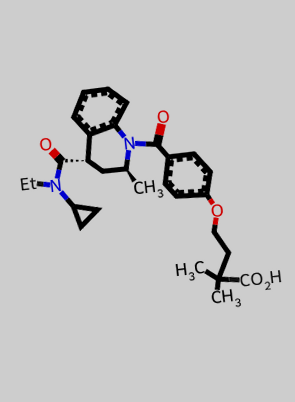 CCN(C(=O)[C@H]1C[C@H](C)N(C(=O)c2ccc(OCCC(C)(C)C(=O)O)cc2)c2ccccc21)C1CC1